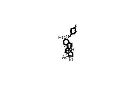 CC[C@]1(C(C)=O)CC[C@H]2[C@@H]3CC=C4CC(O)(OCc5ccc(F)cc5)CC[C@]4(C)[C@H]3CC[C@@]21C